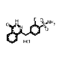 Cl.NS(=O)(=O)c1ccc(Cc2n[nH]c(=O)c3ccccc23)cc1F